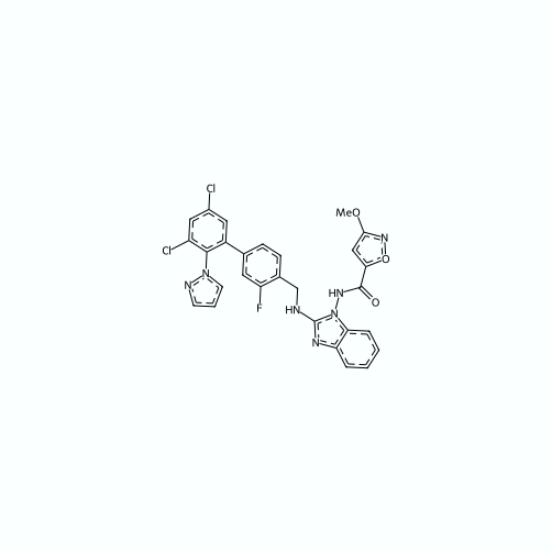 COc1cc(C(=O)Nn2c(NCc3ccc(-c4cc(Cl)cc(Cl)c4-n4cccn4)cc3F)nc3ccccc32)on1